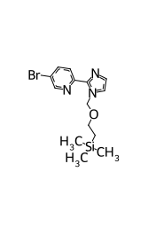 C[Si](C)(C)CCOCn1ccnc1-c1ccc(Br)cn1